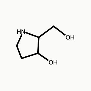 OCC1NCCC1O